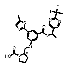 Cc1cnc(-c2cc(OC[C@H]3CCCN3C(=O)O)cc(C(=O)NC(C)c3cnc(C(F)(F)F)nc3)c2)s1